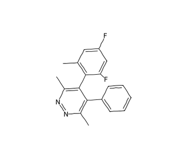 Cc1cc(F)cc(F)c1-c1c(C)nnc(C)c1-c1ccccc1